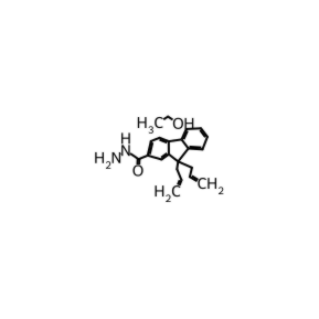 C=CCC1(CC=C)c2ccccc2-c2ccc(C(=O)NN)cc21.CCO